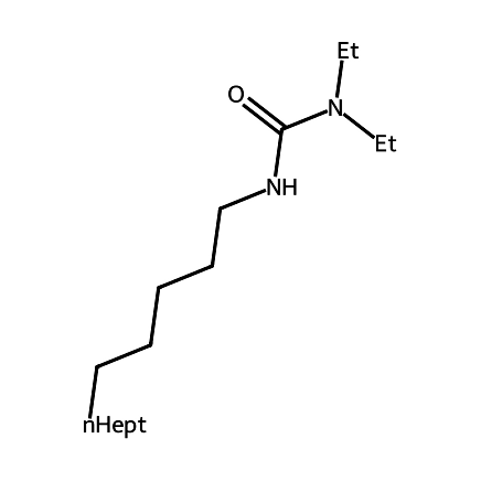 CCCCCCCCCCCCNC(=O)N(CC)CC